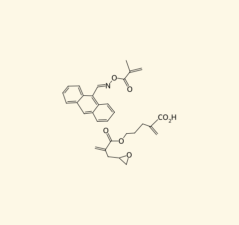 C=C(C)C(=O)ON=Cc1c2ccccc2cc2ccccc12.C=C(CCCOC(=O)C(=C)CC1CO1)C(=O)O